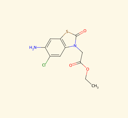 CCOC(=O)Cn1c(=O)sc2cc(N)c(Cl)cc21